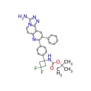 CC(C)(C)OC(=O)NC1(c2ccc(-c3nc4ccn5c(N)nnc5c4cc3-c3ccccc3)cc2)CC(F)(F)C1